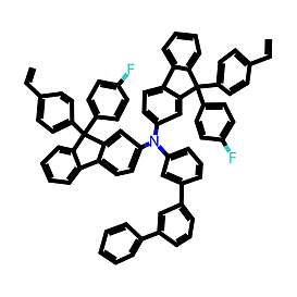 C=Cc1ccc(C2(c3ccc(F)cc3)c3ccccc3-c3ccc(N(c4cccc(-c5cccc(-c6ccccc6)c5)c4)c4ccc5c(c4)C(c4ccc(F)cc4)(c4ccc(C=C)cc4)c4ccccc4-5)cc32)cc1